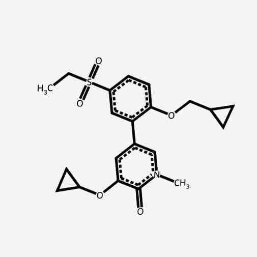 CCS(=O)(=O)c1ccc(OCC2CC2)c(-c2cc(OC3CC3)c(=O)n(C)c2)c1